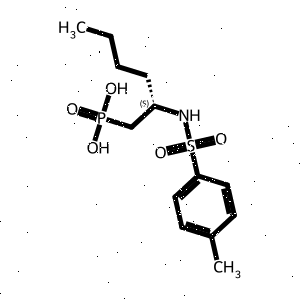 CCCC[C@@H](CP(=O)(O)O)NS(=O)(=O)c1ccc(C)cc1